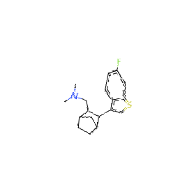 CN(C)CC1C2CCC(C2)C1c1csc2cc(F)ccc12